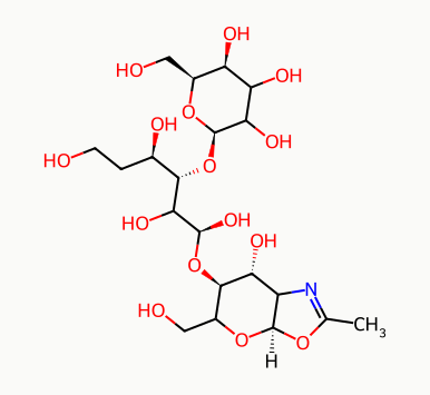 CC1=NC2[C@@H](O1)OC(CO)[C@@H](O[C@H](O)C(O)[C@@H](O[C@H]1O[C@@H](CO)[C@@H](O)C(O)C1O)[C@H](O)CCO)[C@@H]2O